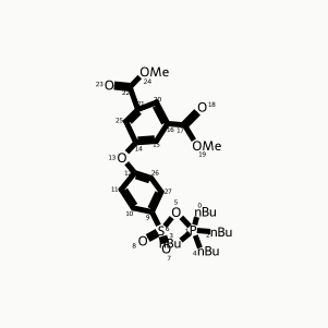 CCCCP(CCCC)(CCCC)(CCCC)OS(=O)(=O)c1ccc(Oc2cc(C(=O)OC)cc(C(=O)OC)c2)cc1